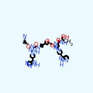 C[C@H](CO)NC(=O)c1cc(N2CCC(c3n[nH]c4ncccc34)CC2)nc(OC[C@H]2CC(C34CC(NC(=O)c5nc(OC[C@H]6C[C@H]6C#N)nc(N6CCC(c7n[nH]c8ncncc78)CC6)n5)(C3)C4)CO2)n1